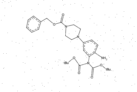 CC(C)(C)OC(=O)N(C(=O)OC(C)(C)C)c1cc(N2CCN(C(=O)OCc3ccccc3)CC2)ccc1N